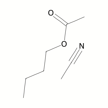 CC#N.CCCCOC(C)=O